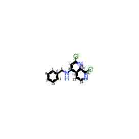 Clc1cc(NCc2ccccc2)c2ccnc(Cl)c2n1